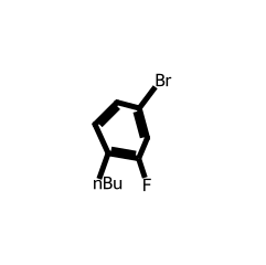 [CH2]CCCc1ccc(Br)cc1F